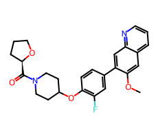 COc1cc2cccnc2cc1-c1ccc(OC2CCN(C(=O)[C@H]3CCCO3)CC2)c(F)c1